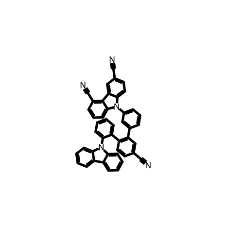 N#Cc1ccc(-c2ccccc2-n2c3ccccc3c3ccccc32)c(-c2cccc(-n3c4ccc(C#N)cc4c4c(C#N)cccc43)c2)c1